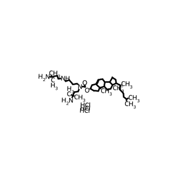 CC(C)CCC[C@@H](C)C1CCC2C3CC=C4CC(OC(=O)N(CCCCNCCC(C)(C)N)CCC(C)(C)N)CCC4(C)C3CCC21C.Cl.Cl.Cl